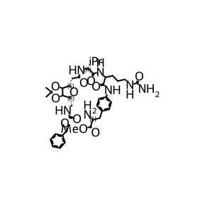 COC(=O)[C@@H](N)Cc1ccc(NC(=O)C(CCCNC(N)=O)NC(=O)[C@H](NC(=O)C[C@@H]2O[C@H](CNC(=O)OCc3ccccc3)C3OC(C)(C)OC32)C(C)C)cc1